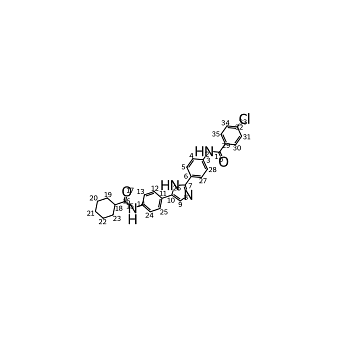 O=C(Nc1ccc(-c2ncc(-c3ccc(NC(=O)C4CCCCC4)cc3)[nH]2)cc1)c1ccc(Cl)cc1